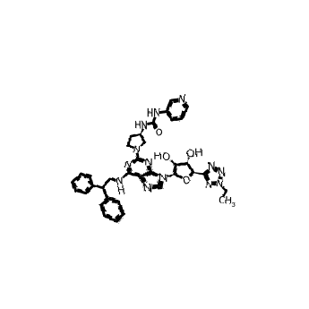 CCn1nnc([C@H]2O[C@@H](n3cnc4c(NCC(c5ccccc5)c5ccccc5)nc(N5CC[C@@H](NC(=O)Nc6cccnc6)C5)nc43)[C@@H](O)[C@@H]2O)n1